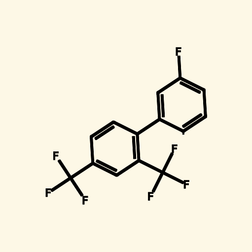 Fc1cc[c]c(-c2ccc(C(F)(F)F)cc2C(F)(F)F)c1